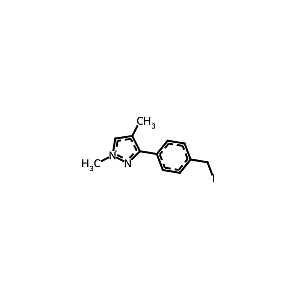 Cc1cn(C)nc1-c1ccc(CI)cc1